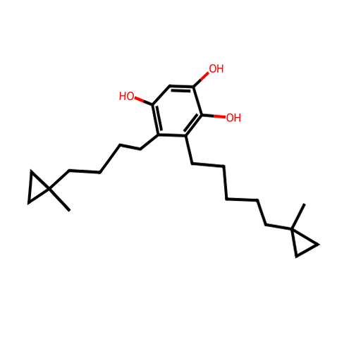 CC1(CCCCCc2c(O)c(O)cc(O)c2CCCCC2(C)CC2)CC1